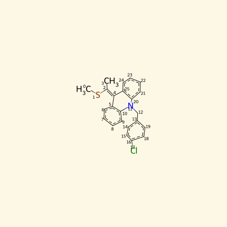 CSC(C)=C1c2ccccc2N(Cc2ccc(Cl)cc2)c2ccccc21